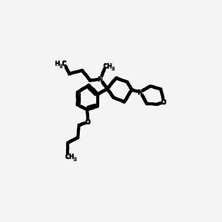 CCCCOc1cccc(C2(N(C)CCCC)CCC(N3CCOCC3)CC2)c1